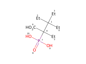 CCC(CC)(CC)C(CC)(C(=O)O)P(=O)(O)O